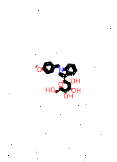 COc1ccc(Cn2cc([C@@H]3O[C@H](CO)[C@@H](O)[C@H](O)[C@H]3O)c3ccccc32)cc1